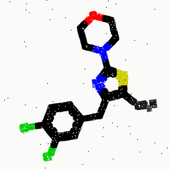 O=C(O)c1sc(N2CCOCC2)nc1Cc1ccc(Cl)c(Cl)c1